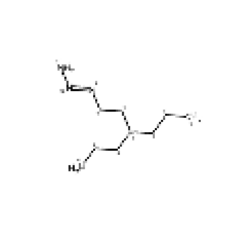 NCCN(CCN)CCN=NN